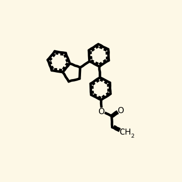 C=CC(=O)Oc1ccc(-c2ccccc2C2CCc3ccccc32)cc1